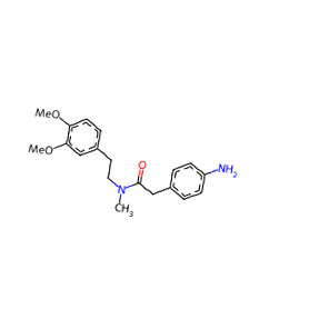 COc1ccc(CCN(C)C(=O)Cc2ccc(N)cc2)cc1OC